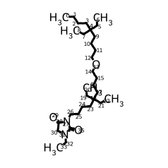 CCCCC(CC)(CC)CCCCOCCCCC(CC)(CC)CCCCN1C(=O)CN(CC)C1=O